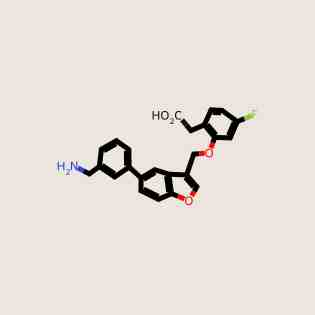 NCc1cccc(-c2ccc3occ(COc4cc(F)ccc4CC(=O)O)c3c2)c1